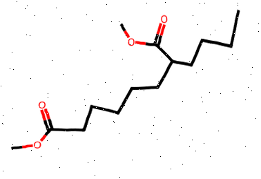 CCCCC(CCCCCC(=O)OC)C(=O)OC